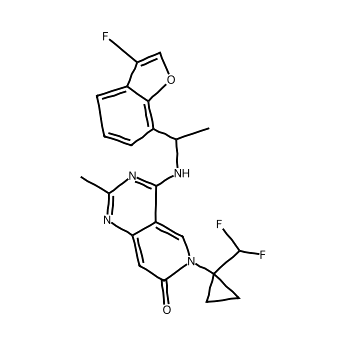 Cc1nc(NC(C)c2cccc3c(F)coc23)c2cn(C3(C(F)F)CC3)c(=O)cc2n1